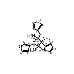 CCC(N)(Cc1ccoc1)C(N)(c1ccco1)C(N)(CC)Cc1ccoc1